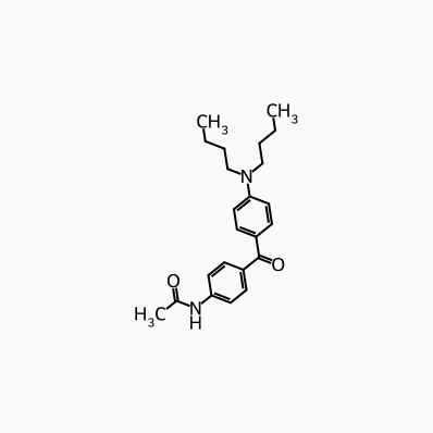 CCCCN(CCCC)c1ccc(C(=O)c2ccc(NC(C)=O)cc2)cc1